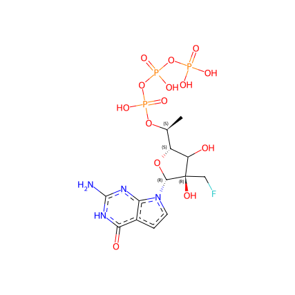 C[C@H](OP(=O)(O)OP(=O)(O)OP(=O)(O)O)[C@H]1O[C@@H](n2ccc3c(=O)[nH]c(N)nc32)[C@@](O)(CF)C1O